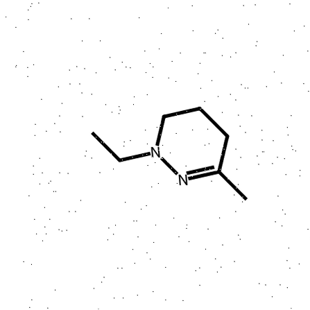 CCN1CCCC(C)=N1